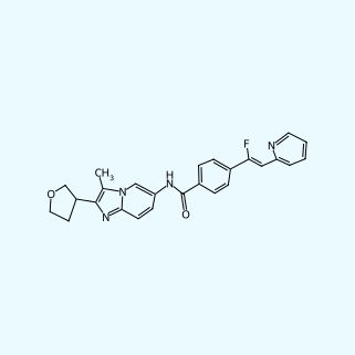 Cc1c(C2CCOC2)nc2ccc(NC(=O)c3ccc(C(F)=Cc4ccccn4)cc3)cn12